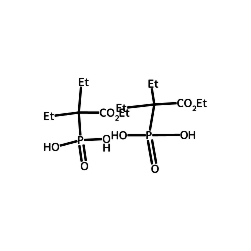 CCOC(=O)C(CC)(CC)P(=O)(O)O.CCOC(=O)C(CC)(CC)P(=O)(O)O